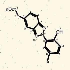 CCCCCCCCSc1ccc2nn(-c3cc(C)ccc3O)nc2c1